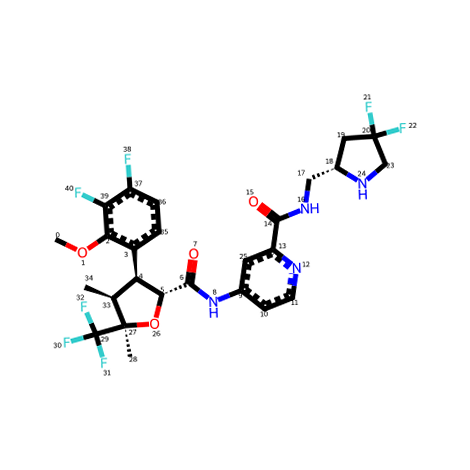 COc1c([C@H]2[C@H](C(=O)Nc3ccnc(C(=O)NC[C@@H]4CC(F)(F)CN4)c3)O[C@@](C)(C(F)(F)F)[C@H]2C)ccc(F)c1F